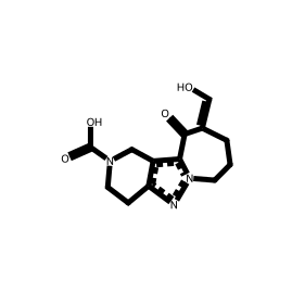 O=C1/C(=C\O)CCCn2nc3c(c21)CN(C(=O)O)CC3